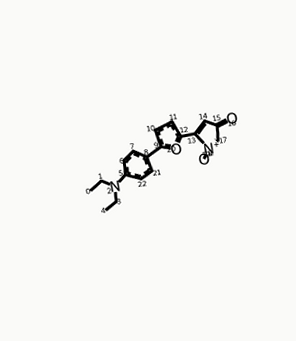 CCN(CC)c1ccc(-c2ccc(C3=CC(=O)C=[N+]3[O-])o2)cc1